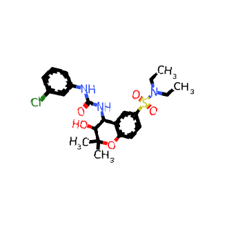 CCN(CC)S(=O)(=O)c1ccc2c(c1)C(NC(=O)Nc1cccc(Cl)c1)C(O)C(C)(C)O2